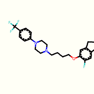 Fc1cc2c(cc1OCCCCN1CCN(c3ccc(C(F)(F)F)cc3)CC1)CCC2